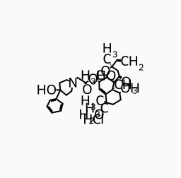 C=C[C@@]1(C)CC(=O)[C@@]2(O)[C@](C)(O1)[C@@H](OC(=O)CN1CCC(O)(c3ccccc3)CC1)C=C1C(C)(C)CC[C@H](O)[C@@]12C.Cl.O